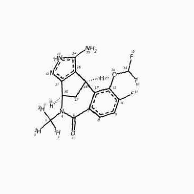 [2H]C([2H])([2H])N1C(=O)c2ccc(F)c(OC(F)F)c2[C@H]2C[C@@H]1c1n[nH]c(N)c12